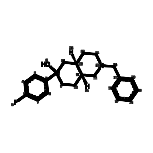 OC1(c2ccc(F)cc2)CC[C@H]2CN(Cc3ccccc3)CC[C@@H]2C1